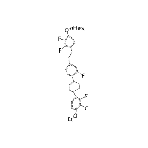 CCCCCCOc1ccc(CCc2ccc(C3=CCC(c4ccc(OCC)c(F)c4F)CC3)c(F)c2)c(F)c1F